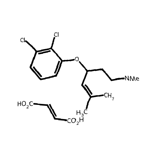 CNCCC(C=C(C)C)Oc1cccc(Cl)c1Cl.O=C(O)/C=C/C(=O)O